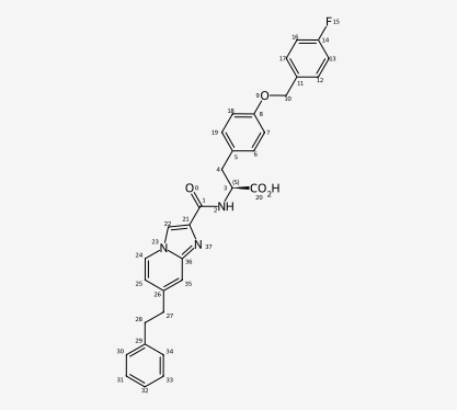 O=C(N[C@@H](Cc1ccc(OCc2ccc(F)cc2)cc1)C(=O)O)c1cn2ccc(CCc3ccccc3)cc2n1